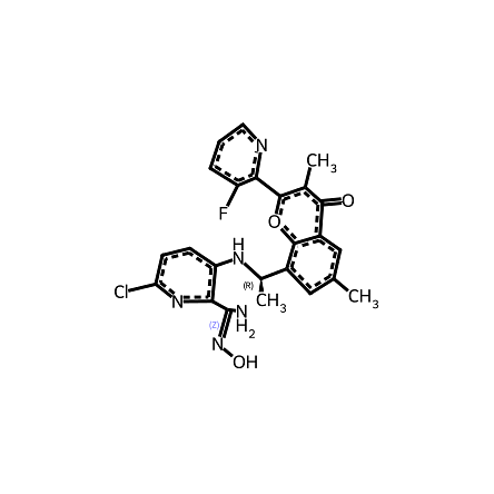 Cc1cc([C@@H](C)Nc2ccc(Cl)nc2/C(N)=N/O)c2oc(-c3ncccc3F)c(C)c(=O)c2c1